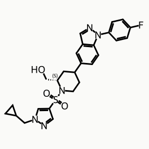 O=S(=O)(c1cnn(CC2CC2)c1)N1CCC(c2ccc3c(cnn3-c3ccc(F)cc3)c2)C[C@H]1CO